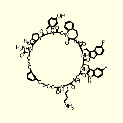 C[C@@]12CCCN1C(=O)[C@H](Cc1ccc(O)cc1)NC(=O)CN1C(=O)[C@H](CCc3ccccc31)NC(=O)[C@@H](CC1=CCc3ccc(F)cc31)NC(=O)[C@H](Cc1c[nH]c3ccc(F)cc13)NC(=O)CNC(=O)[C@H](CCCCN)NC(=O)CCSCc1cccc(c1)CSC[C@@H](C(N)=O)NC2=O